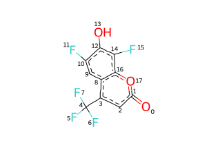 O=c1cc(C(F)(F)F)c2cc(F)c(O)c(F)c2o1